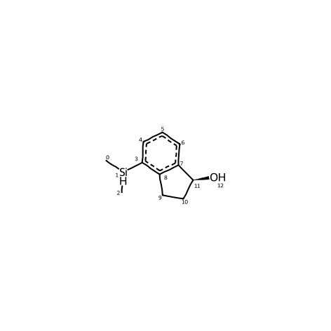 C[SiH](C)c1cccc2c1CC[C@@H]2O